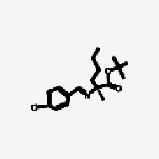 CCCC[C@@](C)(N=Cc1ccc(Cl)cc1)C(=O)OC(C)(C)C